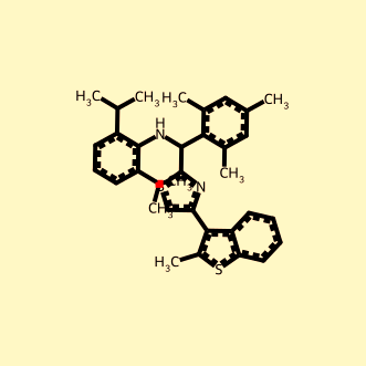 Cc1cc(C)c(C(Nc2c(C(C)C)cccc2C(C)C)c2nc(-c3c(C)sc4ccccc34)cs2)c(C)c1